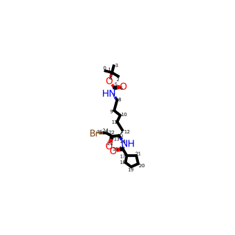 CC(C)(C)OC(=O)NCCCCC[C@H](NC(=O)C1CCCC1)C(=O)CBr